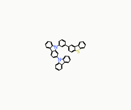 c1cc(-c2ccc3sc4ccccc4c3c2)cc(-n2c3ccccc3c3ccc(-n4c5ccccc5c5ccccc54)cc32)c1